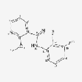 COc1ncccc1C(=N)Nc1cccc(F)c1F